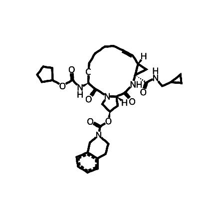 O=C(N[C@H]1CCCCC/C=C\[C@@H]2C[C@@]2(C(=O)NCC2CC2)NC(=O)[C@@H]2C[C@@H](OC(=O)N3CCc4ccccc4C3)CN2C1=O)OC1CCCC1